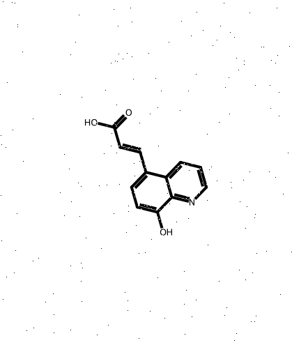 O=C(O)C=Cc1ccc(O)c2ncccc12